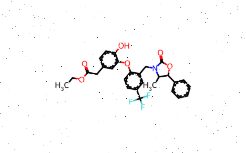 CCOC(=O)Cc1ccc(O)c(Oc2ccc(C(F)(F)F)cc2CN2C(=O)OC(c3ccccc3)C2C)c1